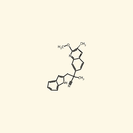 COc1nc2cc(C(C)(C#N)Cc3cc4ccccc4[nH]3)ccc2cc1C